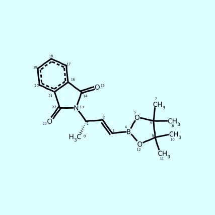 C[C@@H](/C=C/B1OC(C)(C)C(C)(C)O1)N1C(=O)c2ccccc2C1=O